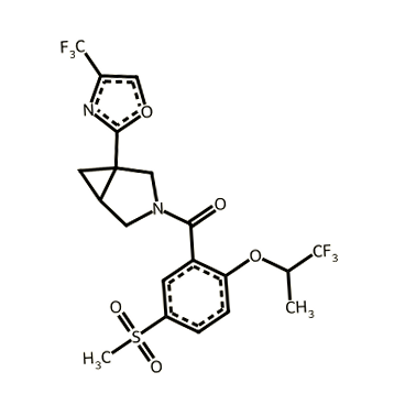 CC(Oc1ccc(S(C)(=O)=O)cc1C(=O)N1CC2CC2(c2nc(C(F)(F)F)co2)C1)C(F)(F)F